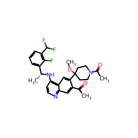 COC1(c2cc3c(N[C@H](C)c4cccc(C(F)F)c4F)ccnc3cc2C(C)=O)CCN(C(C)=O)CC1